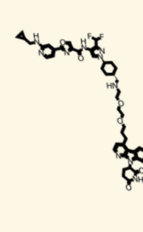 O=C1CCC(n2c3ccccc3c3c(CCCOCCOCCNC[C@H]4CC[C@H](n5cc(NC(=O)c6coc(-c7ccnc(NCC8CC8)c7)n6)c(C(F)F)n5)CC4)ccnc32)C(=O)N1